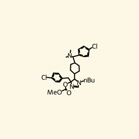 CCCCN1C=NC(Cc2ccc(Cl)cc2)(OC(=O)OC)C1C1CCC(C(c2ccc(Cl)cc2)N(C)C)CC1